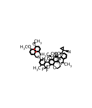 COc1ccc(CN(Cc2ccc(OC)cc2)c2cc(C)c(C(F)(F)F)c(-c3c(Cl)c4c5c(nc(OCC6(C#N)CC6)nc5c3F)N([C@H](C)c3cccnc3NC(=O)OC(C)(C)C)CCO4)n2)cc1